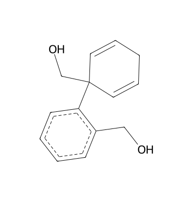 OCc1ccccc1C1(CO)C=CCC=C1